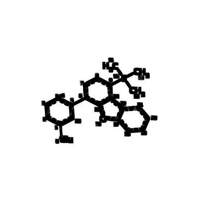 CC(C)(C)c1ccnc(-c2ccc(S(C)(C)C)c3c2oc2ccccc23)c1